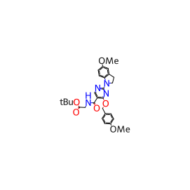 COc1ccc(COc2nc(N3CCc4cc(OC)ccc43)ncc2C(=O)NCC(=O)OC(C)(C)C)cc1